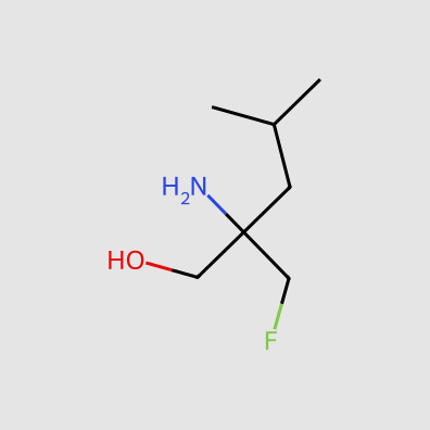 CC(C)CC(N)(CO)CF